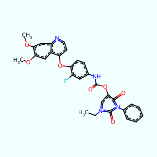 CCn1cc(OC(=O)Nc2ccc(Oc3ccnc4cc(OC)c(OC)cc34)c(F)c2)c(=O)n(-c2ccccc2)c1=O